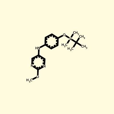 COc1ncc(Nc2ccc(O[Si](C)(C)C(C)(C)C)cc2)cn1